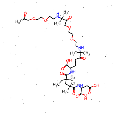 CCC(C)(CC(C)(C)C(=O)NC(CC(=O)O)C(=O)O)C(=O)NC(CCC(=O)C(C)(C)NCCOCCOCC(=O)C(C)(C)NCCOCCOCC(C)=O)C(=O)O